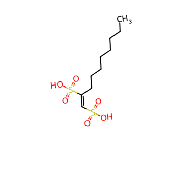 CCCCCCCCC(=CS(=O)(=O)O)S(=O)(=O)O